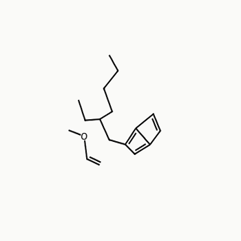 C=COC.CCCCC(CC)Cc1cc2ccc1-2